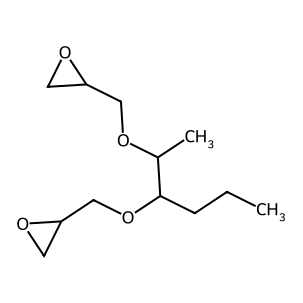 CCCC(OCC1CO1)C(C)OCC1CO1